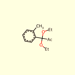 CCOC(OCC)(C(C)=O)c1ccccc1C